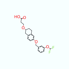 O=C(O)CCOC1CCc2cc(OCc3cccc(OC(F)F)c3)ccc2C1